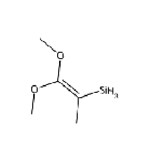 COC(OC)=C(C)[SiH3]